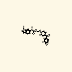 O=C(Nc1ccc2cc[nH]c2c1)OCCN1CCC(C(=O)c2ccc(Br)cc2)CC1